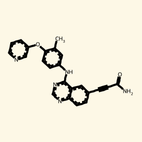 Cc1cc(Nc2ncnc3ccc(C#CC(N)=O)cc23)ccc1Oc1cccnc1